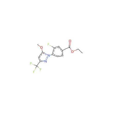 CCOC(=O)c1ccc(-n2nc(C(F)(F)F)cc2OC)c(F)c1